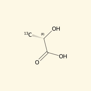 [13CH3][C@H](O)C(=O)O